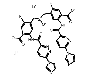 O=C(Nc1cc(C[S+]([O-])Cc2cc(NC(=O)c3ccc(-n4ccnc4)nn3)c(C(=O)[O-])cc2F)c(F)cc1C(=O)[O-])c1ccc(-n2ccnc2)nn1.[Li+].[Li+]